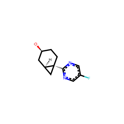 [O][C@H]1CC[C@@]2(c3ncc(F)cn3)C[C@H]2C1